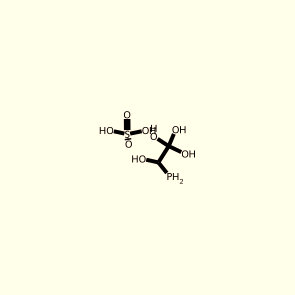 O=S(=O)(O)O.OC(P)C(O)(O)O